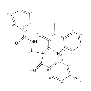 COC(=O)c1c(CNC(=O)c2cccnc2)c(=O)c2ccc(P)cc2n1-c1ccccc1